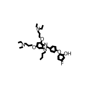 CCCCn1c(-c2ccc(Oc3ccc(F)cc3O)cc2)nc2c(OCCCN(CC)CC)cc(OCCCN(CC)CC)cc21